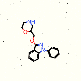 c1ccc(-n2nc(OCC3CNCCO3)c3ccccc32)cc1